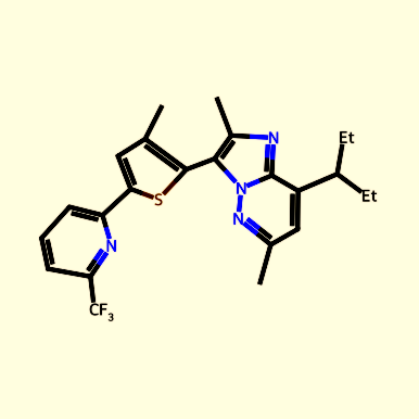 CCC(CC)c1cc(C)nn2c(-c3sc(-c4cccc(C(F)(F)F)n4)cc3C)c(C)nc12